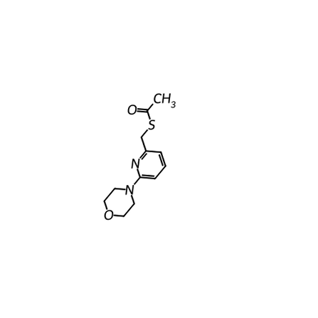 CC(=O)SCc1cccc(N2CCOCC2)n1